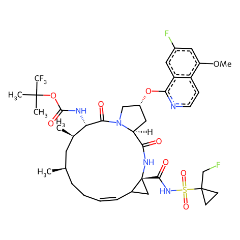 COc1cc(F)cc2c(O[C@@H]3C[C@H]4C(=O)N[C@]5(C(=O)NS(=O)(=O)C6(CF)CC6)CC5/C=C\CC[C@@H](C)C[C@@H](C)[C@H](NC(=O)OC(C)(C)C(F)(F)F)C(=O)N4C3)nccc12